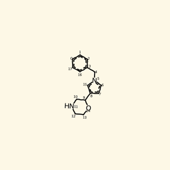 c1ccc(Cn2ccc(C3CNCCO3)c2)cc1